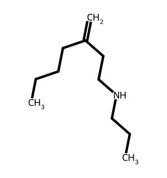 C=C(CCCC)CCNCCC